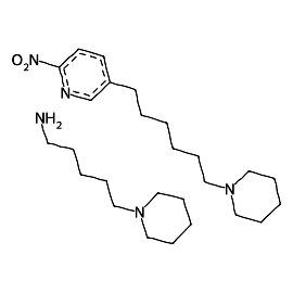 NCCCCCN1CCCCC1.O=[N+]([O-])c1ccc(CCCCCCN2CCCCC2)cn1